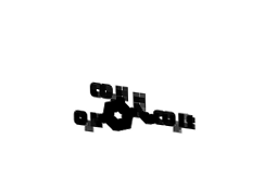 CCOC(=O)CNc1ccc([N+](=O)[O-])cc1C(=O)O